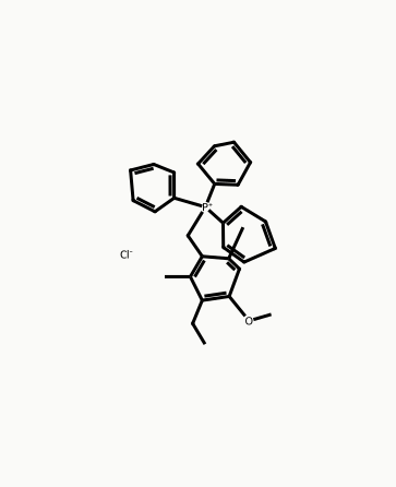 CCc1c(OC)cc(C)c(C[P+](c2ccccc2)(c2ccccc2)c2ccccc2)c1C.[Cl-]